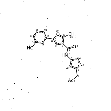 CC(=O)Cc1nsc(NC(=O)c2cc(-c3cccc(C#N)c3)oc2C)n1